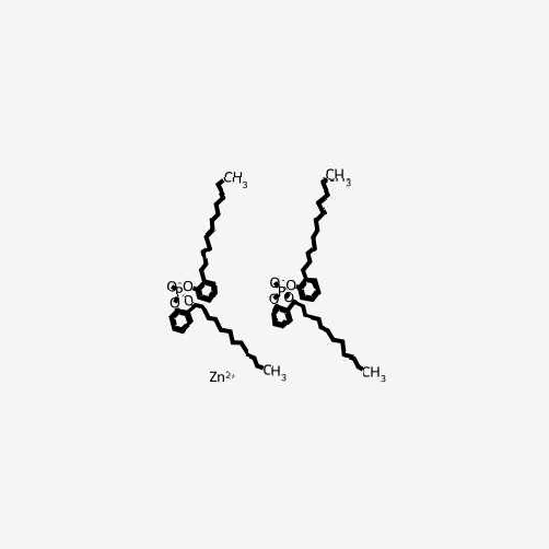 CCCCCCCCCCCCc1ccccc1OP(=O)([O-])Oc1ccccc1CCCCCCCCCCCC.CCCCCCCCCCCCc1ccccc1OP(=O)([O-])Oc1ccccc1CCCCCCCCCCCC.[Zn+2]